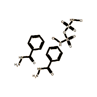 NNC(=O)c1ccccc1.NNC(=O)c1ccccc1.O=S(=O)(NCl)OS(=O)(=O)NCl